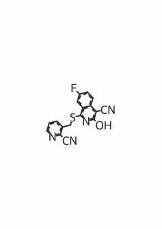 N#Cc1ncccc1CSc1nc(O)c(C#N)c2ccc(F)cc12